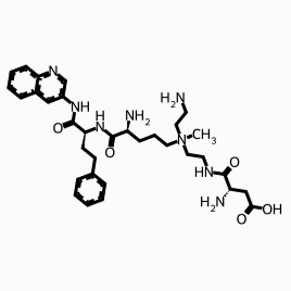 C[N+](CCN)(CCC[C@H](N)C(=O)N[C@@H](CCc1ccccc1)C(=O)Nc1cnc2ccccc2c1)CCNC(=O)[C@@H](N)CC(=O)O